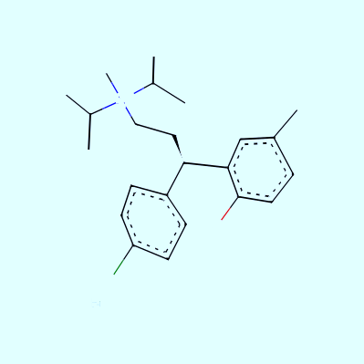 Cc1ccc(O)c([C@H](CC[N+](C)(C(C)C)C(C)C)c2ccc(F)cc2)c1.[Br-]